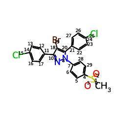 CS(=O)(=O)c1ccc(-n2nc(-c3ccc(Cl)cc3)c(Br)c2-c2ccc(Cl)cc2)cc1